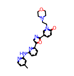 Cc1ccnc(Nc2cccc(-c3cnc(-c4ccc(=O)n(CCN5CCOCC5)c4)o3)n2)c1